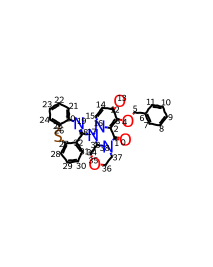 O=C1c2c(OCc3ccccc3)c(=O)ccn2N(C2=Nc3ccccc3Sc3ccccc32)C2COCCN12